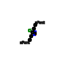 CCCCCc1ccc(-c2ccc(-c3cc(Cl)c(-c4ccc(-c5ccc(CCCCC)cc5)cc4)c4nsnc34)cc2)cc1